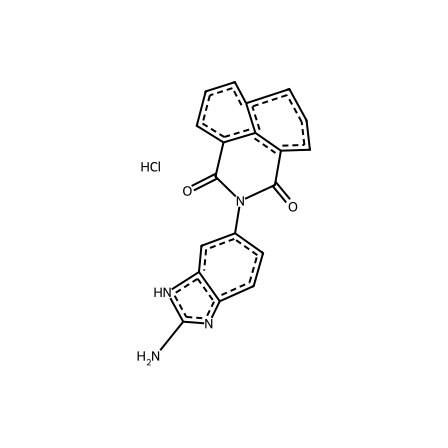 Cl.Nc1nc2ccc(N3C(=O)c4cccc5cccc(c45)C3=O)cc2[nH]1